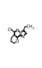 CCc1cnc2c3c(c(Cl)nn12)CCCO3